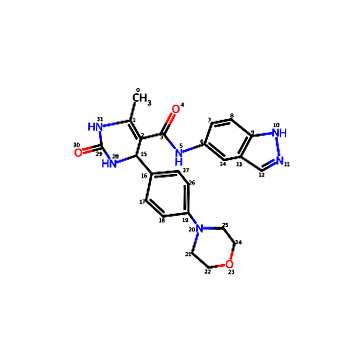 CC1=C(C(=O)Nc2ccc3[nH]ncc3c2)C(c2ccc(N3CCOCC3)cc2)NC(=O)N1